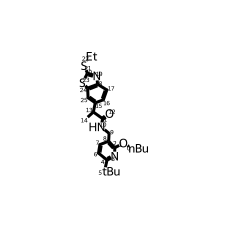 CCCCOc1nc(C(C)(C)C)ccc1CNC(=O)C(C)c1ccc2nc(SCC)sc2c1